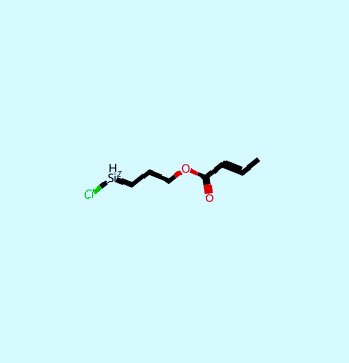 CC=CC(=O)OCCC[SiH2]Cl